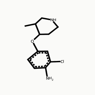 CC1CNCCC1Oc1ccc(N)c(Cl)c1